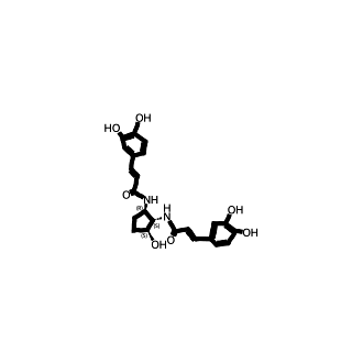 O=C(C=Cc1ccc(O)c(O)c1)N[C@@H]1[C@@H](O)CC[C@H]1NC(=O)C=Cc1ccc(O)c(O)c1